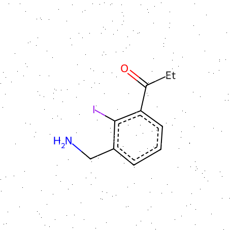 CCC(=O)c1cccc(CN)c1I